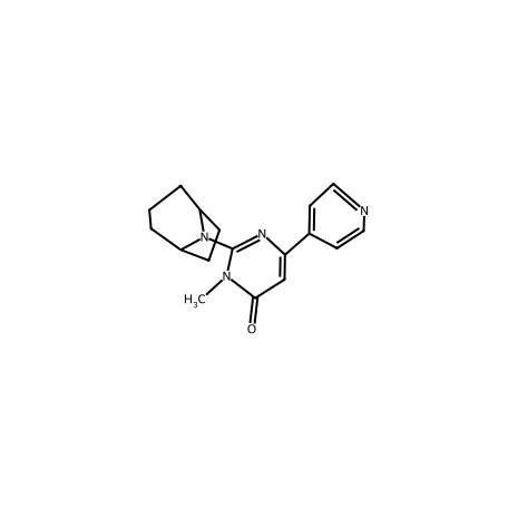 Cn1c(N2C3CCCC2CC3)nc(-c2ccncc2)cc1=O